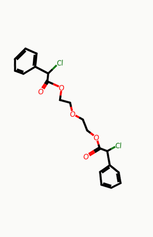 O=C(OCCOCCOC(=O)C(Cl)c1ccccc1)C(Cl)c1ccccc1